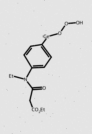 CCOC(=O)CC(=O)N(CC)c1cc[c]([Ge][O]OO)cc1